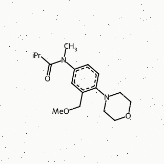 COCc1cc(N(C)C(=O)C(C)C)ccc1N1CCOCC1